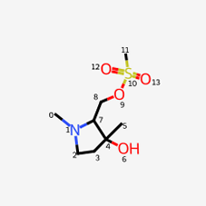 CN1CCC(C)(O)C1COS(C)(=O)=O